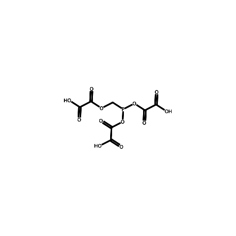 O=C(O)C(=O)OCP(OC(=O)C(=O)O)OC(=O)C(=O)O